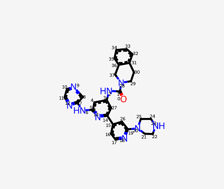 O=C(Nc1cc(Nc2cnccn2)nc(-c2ccnc(N3CCNCC3)c2)c1)N1CCc2ccccc2C1